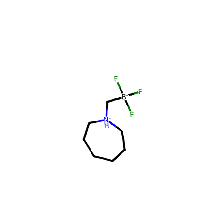 F[B-](F)(F)C[NH+]1CCCCCC1